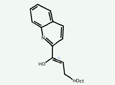 CCCCCCCCC/C=C(\O)c1ccc2ccccc2n1